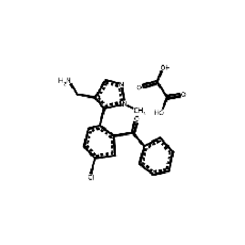 Cn1ncc(CN)c1-c1ccc(Cl)cc1C(=O)c1ccccc1.O=C(O)C(=O)O